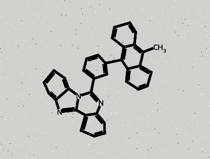 Cc1c2ccccc2c(-c2cccc(-c3nc4ccccc4c4nc5ccccc5n34)c2)c2ccccc12